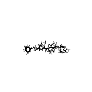 [O-][S+]1CCN(c2ncnc3c(-c4nc(SCc5ccccc5)c[nH]4)ncnc23)CC1